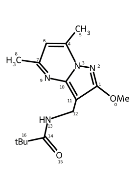 COc1nn2c(C)cc(C)nc2c1CNC(=O)C(C)(C)C